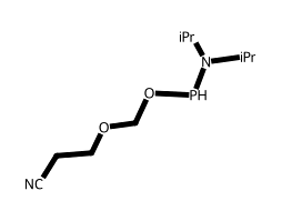 CC(C)N(POCOCCC#N)C(C)C